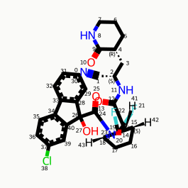 N#C[C@H](C[C@H]1CCCNC1=O)NC(=O)[C@@H]1[C@@H]2CC[C@@H](CC2(F)F)N1C(=O)C1(O)c2ccccc2-c2ccc(Cl)cc21